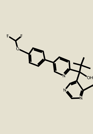 CC(C)(C)C(O)(c1ccc(-c2ccc(OC(F)F)cc2)cn1)c1cncnc1CO